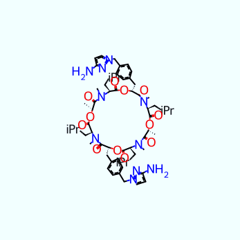 CC(C)C[C@H]1C(=O)O[C@H](Cc2ccc(Cn3ccc(N)n3)cc2)C(=O)N(C)[C@@H](CC(C)C)C(=O)O[C@H](C)C(=O)N(C)[C@@H](CC(C)C)C(=O)O[C@H](Cc2ccc(Cn3ccc(N)n3)cc2)C(=O)N(C)[C@@H](CC(C)C)C(=O)O[C@H](C)C(=O)N1C